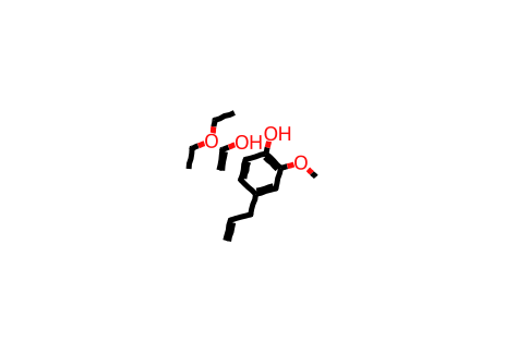 C=CCc1ccc(O)c(OC)c1.C=CO.CCOCC